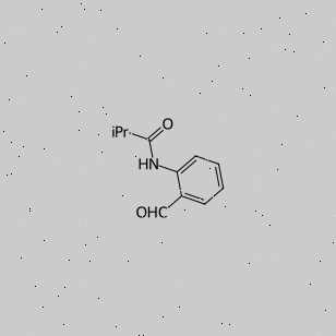 CC(C)C(=O)Nc1ccccc1C=O